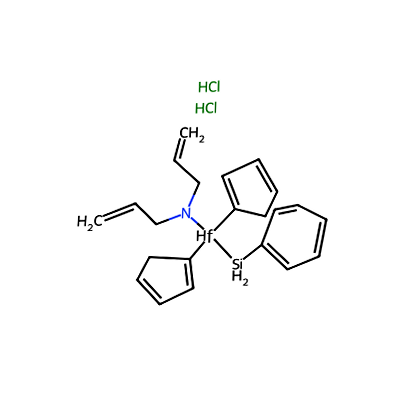 C=CC[N](CC=C)[Hf]([SiH2]c1ccccc1)([C]1=CC=CC1)[C]1=CC=CC1.Cl.Cl